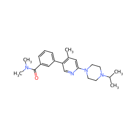 Cc1cc(N2CCN(C(C)C)CC2)ncc1-c1cccc(C(=O)N(C)C)c1